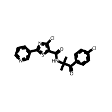 CC(C)(NC(=O)c1sc(-c2cccnc2)nc1Cl)C(=O)c1ccc(Cl)cc1